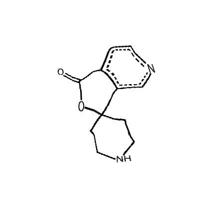 O=C1OC2(CCNCC2)c2cnccc21